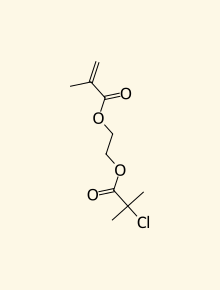 C=C(C)C(=O)OCCOC(=O)C(C)(C)Cl